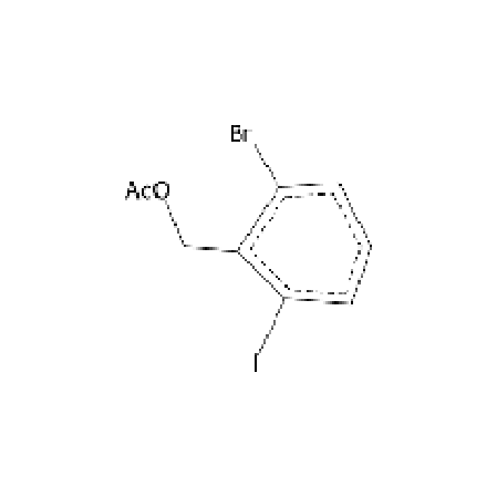 CC(=O)OCc1c(Br)cccc1I